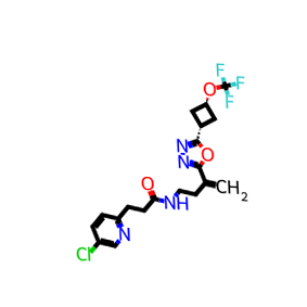 C=C(CCNC(=O)CCc1ccc(Cl)cn1)c1nnc([C@H]2C[C@@H](OC(F)(F)F)C2)o1